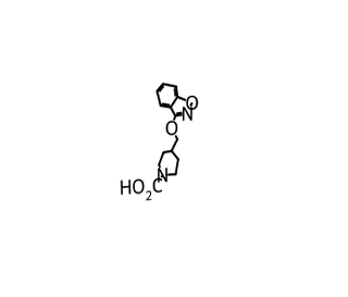 O=C(O)N1CCC(COc2noc3ccccc23)CC1